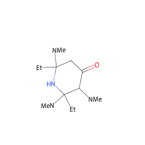 CCC1(NC)CC(=O)C(NC)C(CC)(NC)N1